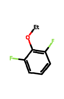 [CH2]COc1c(F)cccc1F